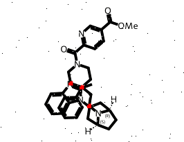 COC(=O)c1ccc(C(=O)N2CCC(CCN3[C@@H]4CC[C@H]3CC(n3c(C)nc5ccccc53)C4)(c3ccccc3)CC2)nc1